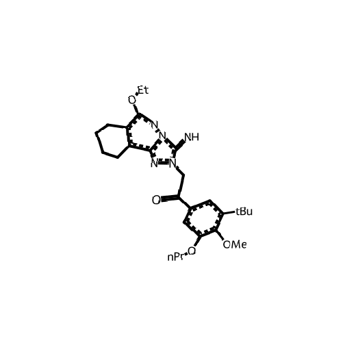 CCCOc1cc(C(=O)Cn2nc3c4c(c(OCC)nn3c2=N)CCCC4)cc(C(C)(C)C)c1OC